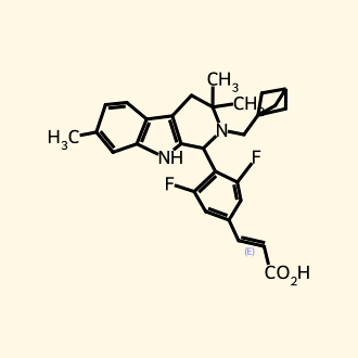 Cc1ccc2c3c([nH]c2c1)C(c1c(F)cc(/C=C/C(=O)O)cc1F)N(CC12CC(C1)C2)C(C)(C)C3